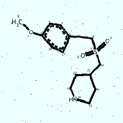 COc1ccc(CS(=O)(=O)CC2CCNCC2)cc1